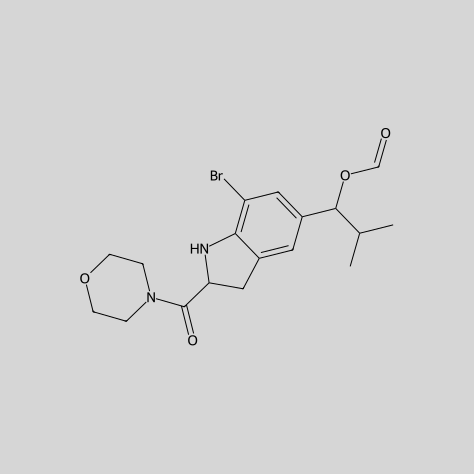 CC(C)C(OC=O)c1cc(Br)c2c(c1)CC(C(=O)N1CCOCC1)N2